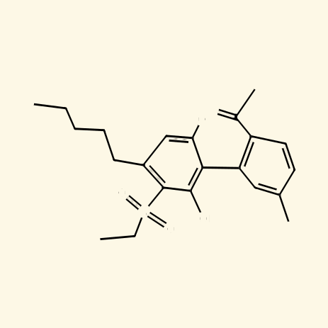 C=C(C)c1ccc(C)cc1-c1c(O)cc(CCCCC)c(S(=O)(=O)CC)c1O